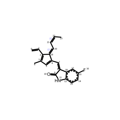 C=CC1=C(C)C=C(C=C2C(=O)Nc3ccc(F)cc32)/C1=C/C=C\C